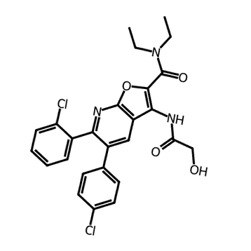 CCN(CC)C(=O)c1oc2nc(-c3ccccc3Cl)c(-c3ccc(Cl)cc3)cc2c1NC(=O)CO